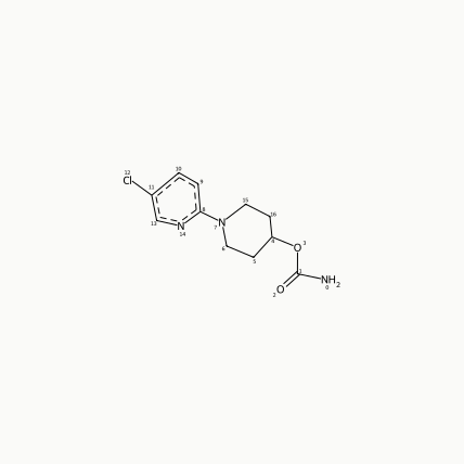 NC(=O)OC1CCN(c2ccc(Cl)cn2)CC1